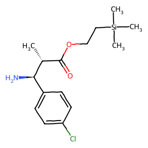 C[C@H](C(=O)OCC[Si](C)(C)C)[C@H](N)c1ccc(Cl)cc1